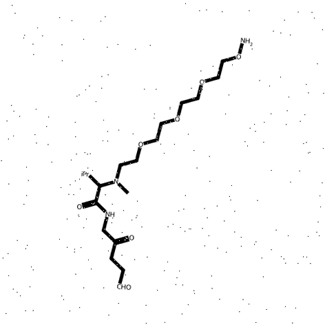 CC(C)C(C(=O)NCC(=O)CCC=O)N(C)CCOCCOCCOCCON